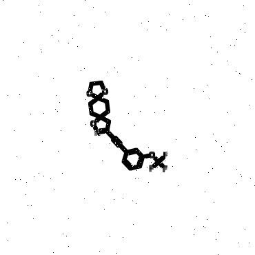 FC(F)(F)Oc1cccc(C#CC2=NOC3(CCC4(CC3)OCCO4)C2)c1